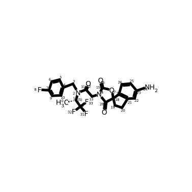 C[C@H](N(Cc1ccc(F)cc1)C(=O)CN1C(=O)OC2(CCc3cc(N)ccc32)C1=O)C(F)(F)F